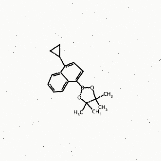 CC1(C)OB(c2ccc(C3CC3)c3ccccc23)OC1(C)C